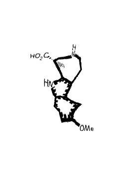 COc1ccc2[nH]c3c(c2c1)CCN[C@H]3C(=O)O